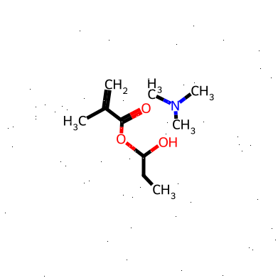 C=C(C)C(=O)OC(O)CC.CN(C)C